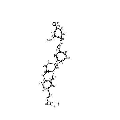 O=C(O)/C=C/c1cnc(CN2CCC(c3cccc(OCc4ccc(Cl)cc4F)n3)CC2)c(Br)c1